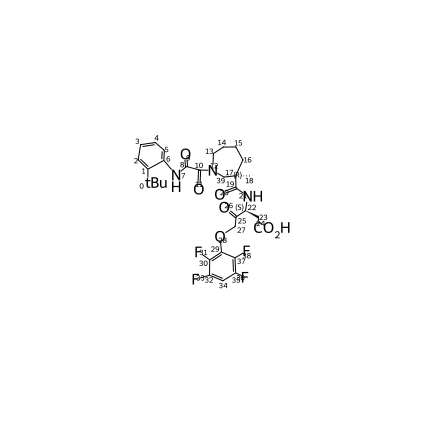 CC(C)(C)c1ccccc1NC(=O)C(=O)N1CCCC[C@@](C)(C(=O)N[C@@H](CC(=O)O)C(=O)COc2c(F)c(F)cc(F)c2F)C1